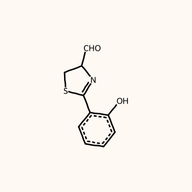 O=CC1CSC(c2ccccc2O)=N1